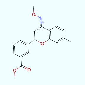 CO/N=C1\CC(c2cccc(C(=O)OC)c2)Oc2cc(C)ccc21